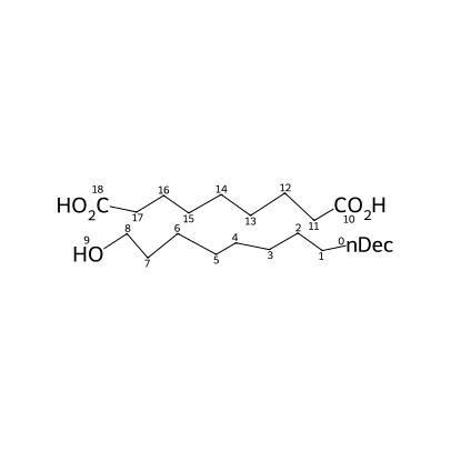 CCCCCCCCCCCCCCCCCCO.O=C(O)CCCCCCCC(=O)O